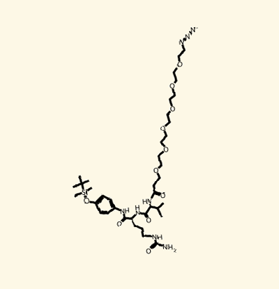 CC(C)[C@H](NC(=O)CCOCCOCCOCCOCCOCCOCCN=[N+]=[N-])C(=O)N[C@@H](CCCNC(N)=O)C(=O)Nc1ccc(O[Si](C)(C)C(C)(C)C)cc1